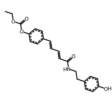 CCOC(=O)Oc1ccc(C=CC=CC(=O)NCCc2ccc(O)cc2)cc1